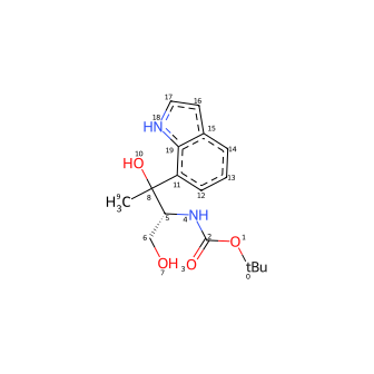 CC(C)(C)OC(=O)N[C@H](CO)C(C)(O)c1cccc2cc[nH]c12